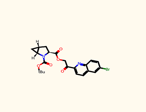 CC(C)(C)OC(=O)N1[C@@H]2C[C@@H]2C[C@H]1C(=O)OCC(=O)c1ccc2cc(Br)ccc2n1